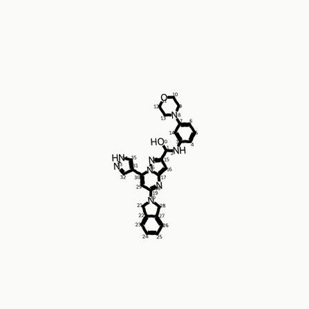 OC(Nc1cccc(N2CCOCC2)c1)c1cc2nc(N3Cc4ccccc4C3)cc(-c3cn[nH]c3)n2n1